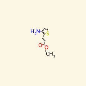 CCOC(=O)C=Cc1sccc1N